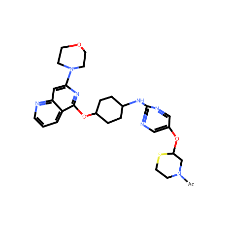 CC(=O)N1CCSC(Oc2cnc(NC3CCC(Oc4nc(N5CCOCC5)cc5ncccc45)CC3)nc2)C1